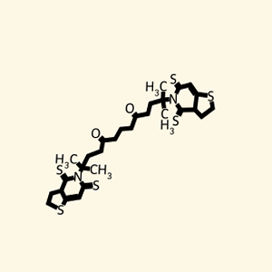 CC(C)(CCC(=O)CCCC(=O)CCC(C)(C)N1C(=S)C=C2SCCC2C1=S)N1C(=S)C=C2SCCC2C1=S